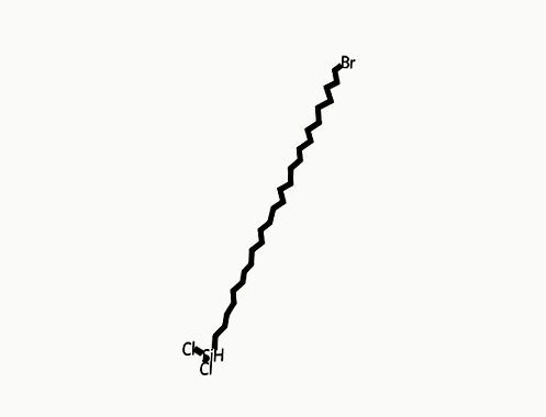 Cl[SiH](Cl)CCCCCCCCCCCCCCCCCCCCCCCCCCCCBr